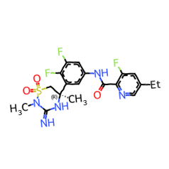 CCc1cnc(C(=O)Nc2cc(F)c(F)c([C@]3(C)CS(=O)(=O)N(C)C(=N)N3)c2)c(F)c1